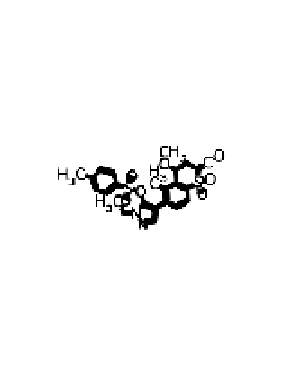 CCn1ncc(-c2ccc3c(c2C)C(OC)CC(=C=O)S3(=O)=O)c1OS(=O)(=O)c1ccc(C)cc1